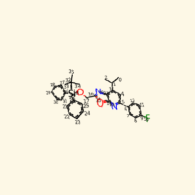 CC(C)c1cc(-c2ccc(F)cc2)nc2oc(CO[Si](c3ccccc3)(c3ccccc3)C(C)(C)C)nc12